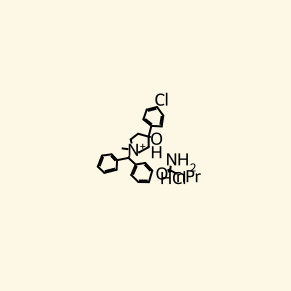 CCCC(N)=O.C[N+]1(C(c2ccccc2)c2ccccc2)CCC(O)(c2ccc(Cl)cc2)CC1.Cl